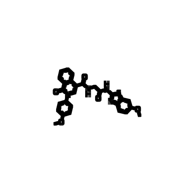 COc1ccc(-n2cc(C(=O)NCC(=O)Nc3nc4ccc(OC)cc4s3)c3ccccc3c2=O)cc1